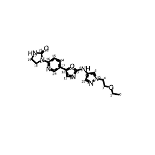 CCOCCn1cc(Nc2ncc(-c3ccc(N4CCNC4=O)nc3)o2)cn1